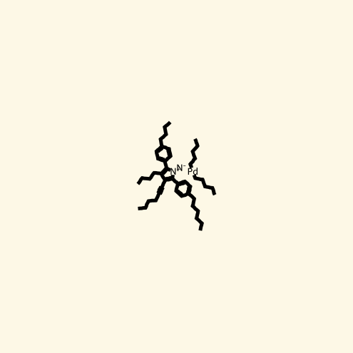 CCCCC#CC1=C(c2ccc(CCCCCC)cc2)[N+](=[N-])C(c2ccc(CCCC)cc2)=C1CCCC.CCCC[CH2][Pd][CH2]CCCC